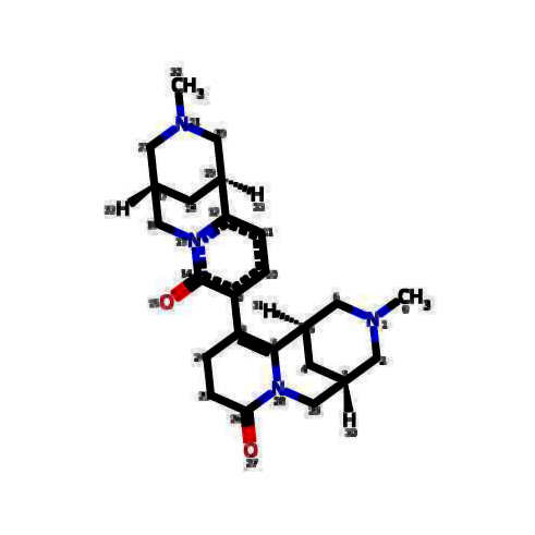 CN1C[C@H]2C[C@H](C1)C1=C(c3ccc4n(c3=O)C[C@H]3C[C@H]4CN(C)C3)CCC(=O)N1C2